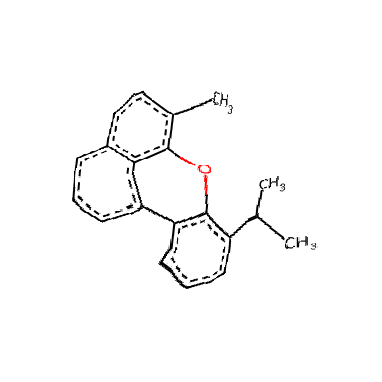 Cc1ccc2cccc3c2c1Oc1c-3cccc1C(C)C